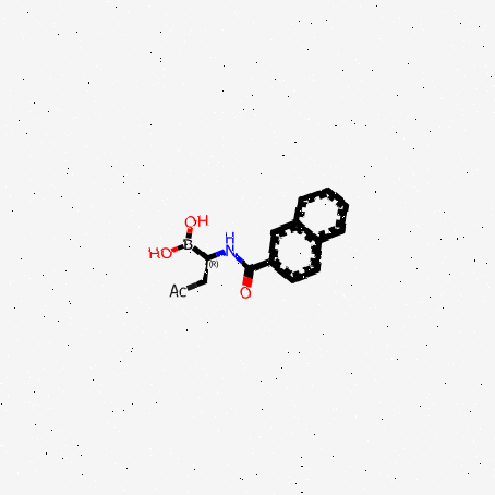 CC(=O)C[C@H](NC(=O)c1ccc2ccccc2c1)B(O)O